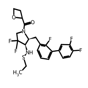 CCSN[C@@H]1[C@H](Cc2cccc(-c3ccc(F)c(F)c3)c2F)N(C(=O)C2CCO2)CC1(F)F